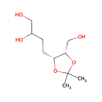 CC1(C)O[C@@H](CO)[C@@H](CCC(O)CO)O1